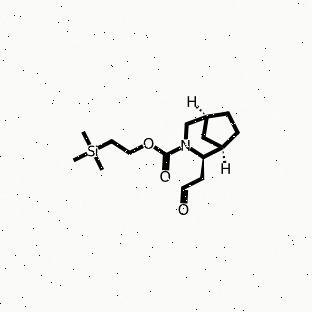 C[Si](C)(C)CCOC(=O)N1C[C@H]2CC[C@H](C2)[C@H]1CC=O